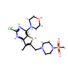 Cc1c(CN2CCN(S(C)(=O)=O)CC2)sc2c(N3CCOCC3)nc(Cl)nc12